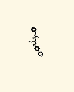 N[C@@H](CNC(=O)OCc1ccccc1)CNc1ccc(N2CCOCC2)cc1